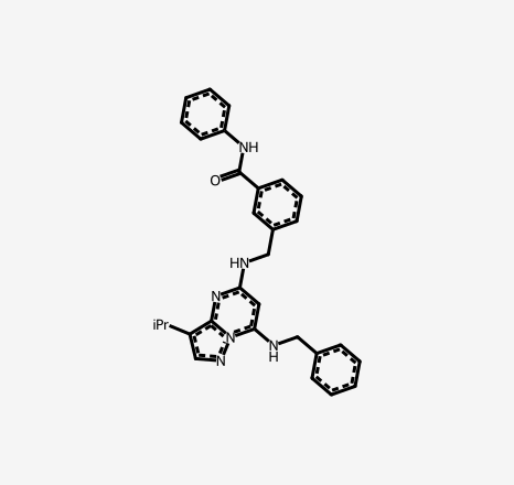 CC(C)c1cnn2c(NCc3ccccc3)cc(NCc3cccc(C(=O)Nc4ccccc4)c3)nc12